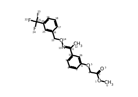 COC(=O)COc1cccc(C(C)=NOCc2cccc(C(F)(F)F)c2)c1